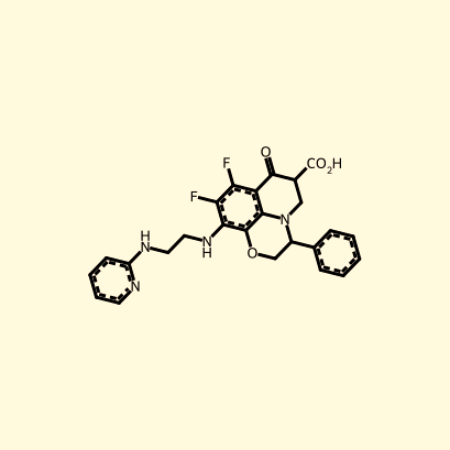 O=C(O)C1CN2c3c(c(NCCNc4ccccn4)c(F)c(F)c3C1=O)OCC2c1ccccc1